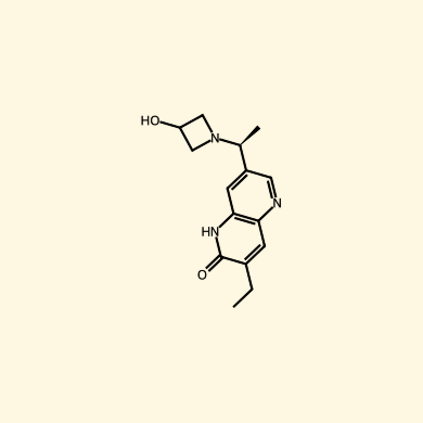 CCc1cc2ncc([C@H](C)N3CC(O)C3)cc2[nH]c1=O